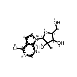 CC1(O)C(O)C(CO)OC1n1ccc2c(Cl)ncnc21